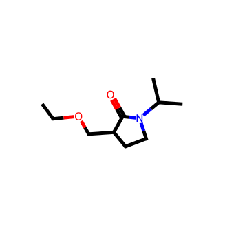 CCOCC1CCN(C(C)C)C1=O